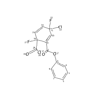 O=C(Oc1ccccc1)C1=CC(F)(Cl)C=CC1(F)C(=O)Cl